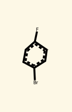 Fc1[c]cc(Br)cc1